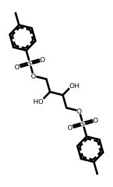 Cc1ccc(S(=O)(=O)OCC(O)C(O)COS(=O)(=O)c2ccc(C)cc2)cc1